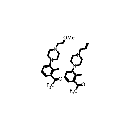 C=CCN1CCN(c2cccc(C(=O)C(F)(F)F)c2C)CC1.COCCN1CCN(c2cccc(C(=O)C(F)(F)F)c2C)CC1